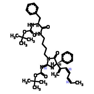 C=C(/C=C\C=C/C)[C@@]1(c2ccccc2)N/C(=N\C(=O)OC(C)(C)C)N(CCCCNC(=O)[C@H](Cc2ccccc2)NC(=O)OC(C)(C)C)C1=O